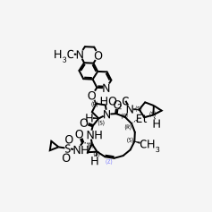 CC[C@@H]1C[C@@H](C)CC/C=C\[C@@H]2C[C@@]2(C(=O)NS(=O)(=O)C2CC2)NC(=O)[C@@H]2C[C@@H](Oc3nccc4c5c(ccc34)N(C)CCO5)CN2C(=O)[C@H]1N(C(=O)O)[C@H]1CC2C[C@H]2C1